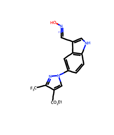 CCOC(=O)c1cn(-c2ccc3[nH]cc(/C=N/O)c3c2)nc1C(F)(F)F